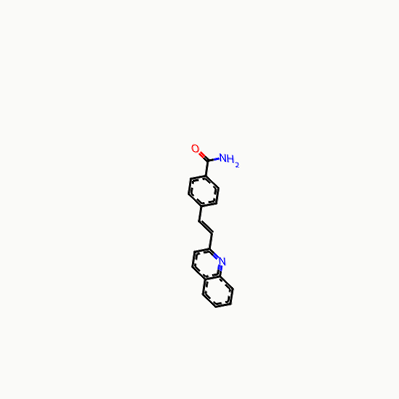 NC(=O)c1ccc(/C=C/c2ccc3ccccc3n2)cc1